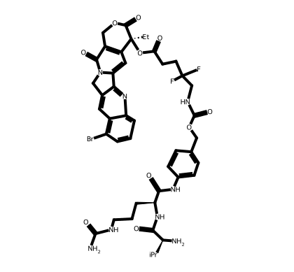 CC[C@@]1(OC(=O)CCC(F)(F)CNC(=O)OCc2ccc(NC(=O)[C@H](CCCNC(N)=O)NC(=O)[C@@H](N)C(C)C)cc2)C(=O)OCc2c1cc1n(c2=O)Cc2cc3c(Br)cccc3nc2-1